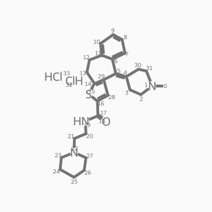 CN1CCC(=C2c3ccccc3CCc3sc(C(=O)NCCN4CCCCC4)cc32)CC1.Cl.Cl